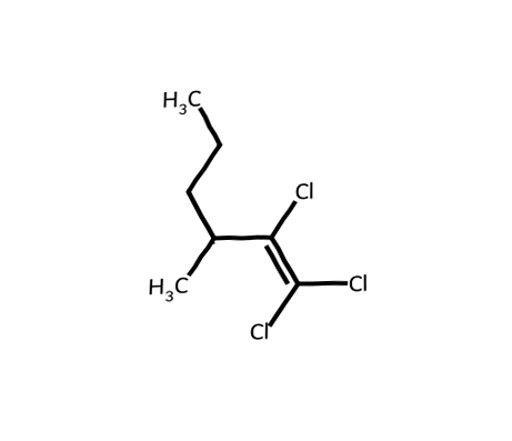 CCC[C](C)C(Cl)=C(Cl)Cl